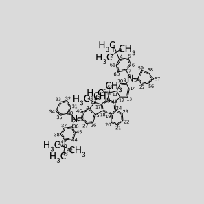 CC(C)(C)c1ccc(N(C2=CC3C(C=C2)c2c(c4c(c5ccccc25)-c2ccc(N(c5ccccc5)c5ccc(C(C)(C)C)cc5)cc2C4(C)C)C3(C)C)c2ccccc2)cc1